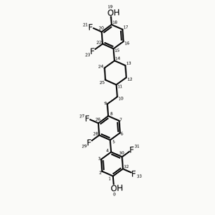 Oc1ccc(-c2ccc(CCC3CCC(c4ccc(O)c(F)c4F)CC3)c(F)c2F)c(F)c1F